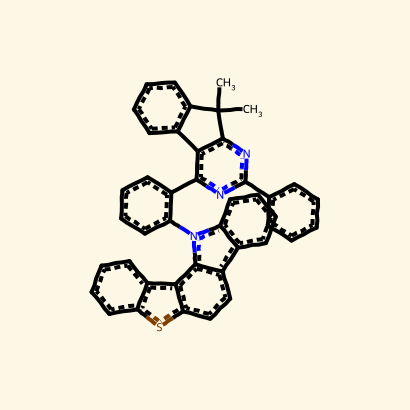 CC1(C)c2ccccc2-c2c(-c3ccccc3-n3c4ccccc4c4ccc5sc6ccccc6c5c43)nc(-c3ccccc3)nc21